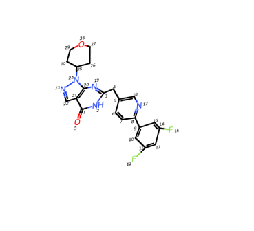 O=c1[nH]c(Cc2ccc(-c3cc(F)cc(F)c3)nc2)nc2c1cnn2C1CCOCC1